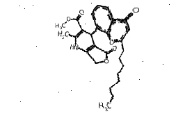 CCCCCCCCc1cc(=O)c2cccc(C3C(C(=O)OC)=C(C)NC4=C3C(=O)OC4)c2o1